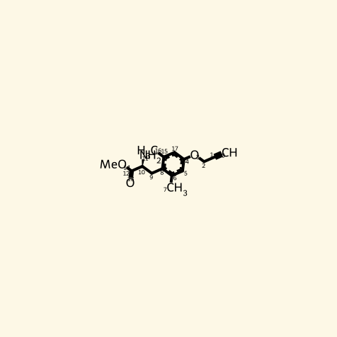 C#CCOc1cc(C)c(C[C@H](N)C(=O)OC)c(C)c1